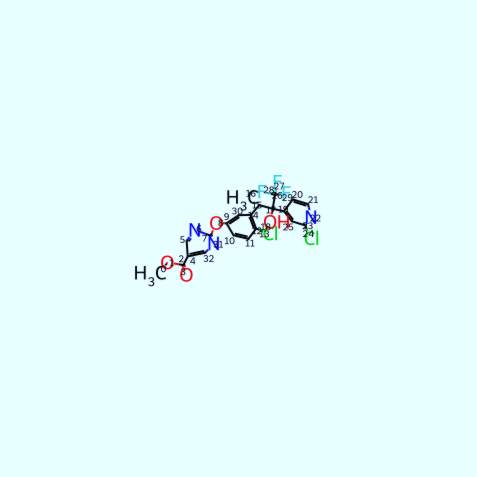 COC(=O)c1cnc(Oc2ccc(Cl)c(C(C)C(O)(c3ccnc(Cl)c3)C(F)(F)F)c2)nc1